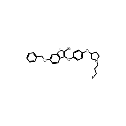 FCCCN1CCC(Oc2ccc(Oc3c(Br)sc4cc(OCc5ccccc5)ccc34)cc2)C1